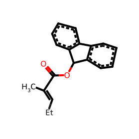 CCC=C(C)C(=O)OC1c2ccccc2-c2ccccc21